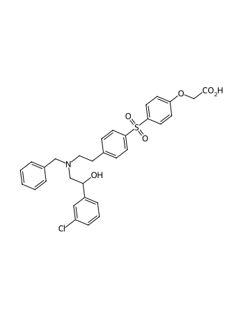 O=C(O)COc1ccc(S(=O)(=O)c2ccc(CCN(Cc3ccccc3)CC(O)c3cccc(Cl)c3)cc2)cc1